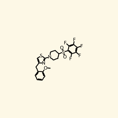 COc1ccccc1Cc1csc(N2CCC(S(=O)(=O)c3c(F)c(F)c(F)c(F)c3F)CC2)n1